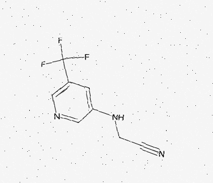 N#CCNc1cncc(C(F)(F)F)c1